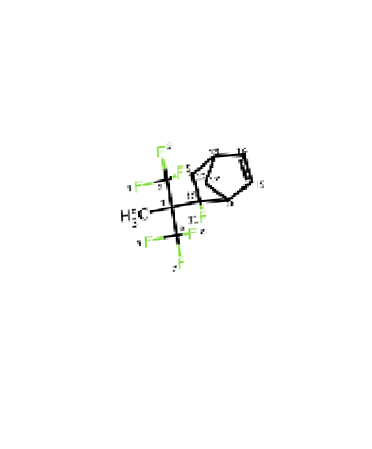 CC(C(F)(F)F)(C(F)(F)F)C1(F)CC2C=CC1C2